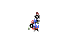 CCC(C)S(=O)(=O)Nc1cc(F)ccc1C(=O)Nc1nc(-c2ccc(Br)cc2)cs1